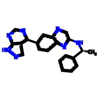 C[C@@H](Nc1cnc2cc(-c3ncnc4[nH]ncc34)ccc2n1)c1ccccc1